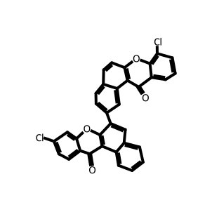 O=c1c2cccc(Cl)c2oc2ccc3ccc(-c4cc5ccccc5c5c(=O)c6ccc(Cl)cc6oc45)cc3c12